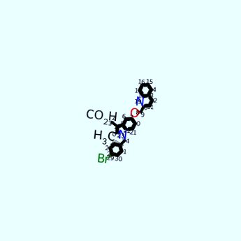 Cc1c(CC(=O)O)c2cc(OCc3ccc4ccccc4n3)ccc2n1Cc1ccc(Br)cc1